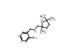 CC1(C)CCC(C)(COCc2ccccc2F)O1